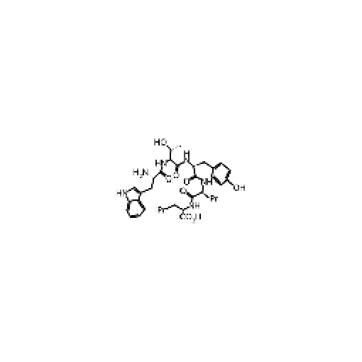 CC(C)C[C@H](NC(=O)[C@@H](NC(=O)[C@H](Cc1ccc(O)cc1)NC(=O)[C@@H](NC(=O)[C@@H](N)Cc1c[nH]c2ccccc12)[C@@H](C)O)C(C)C)C(=O)O